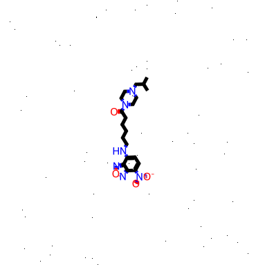 CC(C)CN1CCN(C(=O)CCCCCNc2ccc([N+](=O)[O-])c3nonc23)CC1